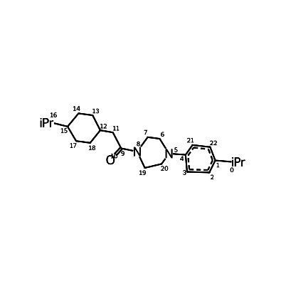 CC(C)c1ccc(N2CCN(C(=O)CC3CCC(C(C)C)CC3)CC2)cc1